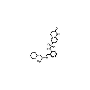 C[C@@H](CC1CCCCC1)NCc1ccccc1NS(=O)(=O)c1ccc2c(c1)CCC(=O)N2